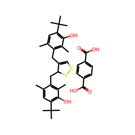 Cc1cc(C(C)(C)C)c(O)c(C)c1CC1=CSSC1Cc1c(C)cc(C(C)(C)C)c(O)c1C.O=C(O)c1ccc(C(=O)O)cc1